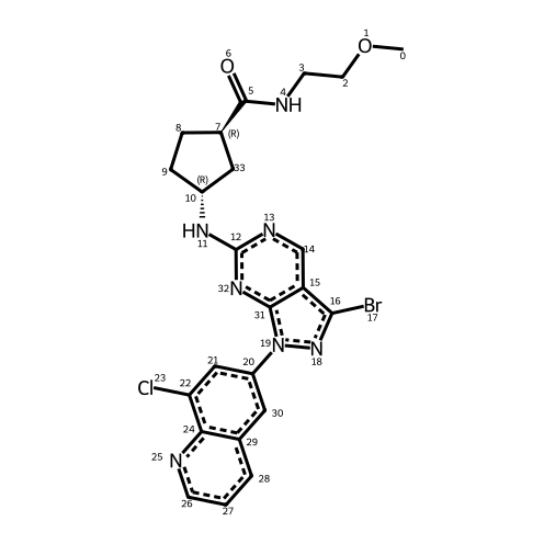 COCCNC(=O)[C@@H]1CC[C@@H](Nc2ncc3c(Br)nn(-c4cc(Cl)c5ncccc5c4)c3n2)C1